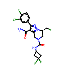 NC(=O)c1c(-c2ccc(F)c(Cl)c2)nn2c1CN(C(=O)NC1CC(F)(F)C1)C[C@@H]2CF